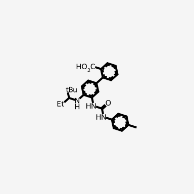 CCC(Nc1ccc(-c2ccccc2C(=O)O)cc1NC(=O)Nc1ccc(C)cc1)C(C)(C)C